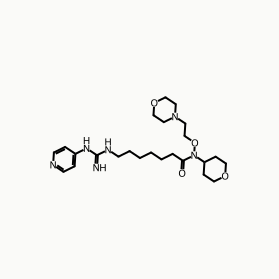 N=C(NCCCCCCC(=O)N(OCCN1CCOCC1)C1CCOCC1)Nc1ccncc1